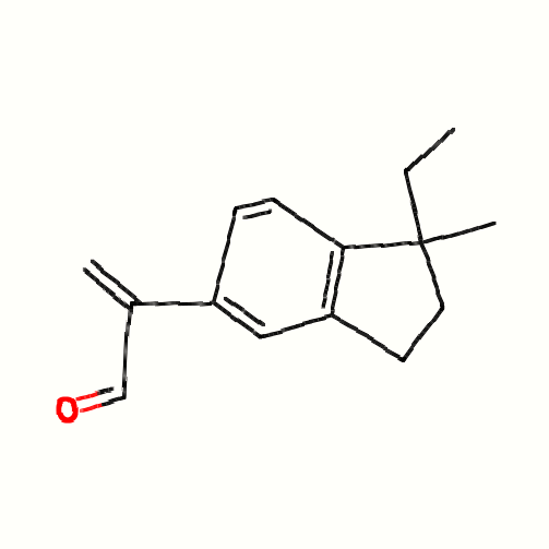 C=C(C=O)c1ccc2c(c1)CCC2(C)CC